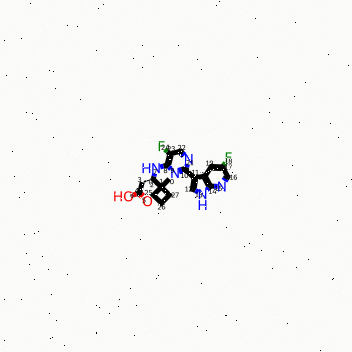 CC1([C@H](CC(=O)O)Nc2nc(-c3c[nH]c4ncc(F)cc34)ncc2F)CCC1